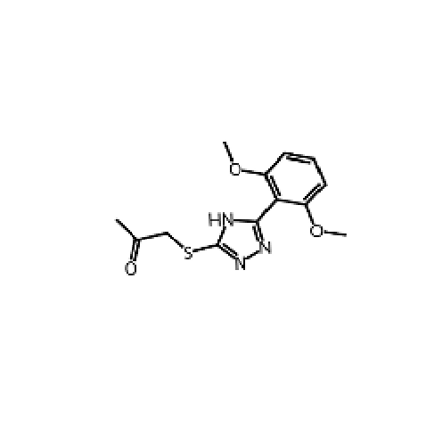 COc1cccc(OC)c1-c1nnc(SCC(C)=O)[nH]1